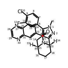 Cn1nc2c(c1-c1ccc(Cl)c(F)c1)C[C@H]1CCC[C@@H]2N1C(=O)c1ccc2nccnc2c1